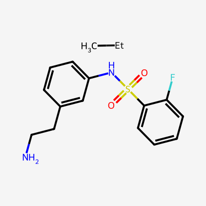 CCC.NCCc1cccc(NS(=O)(=O)c2ccccc2F)c1